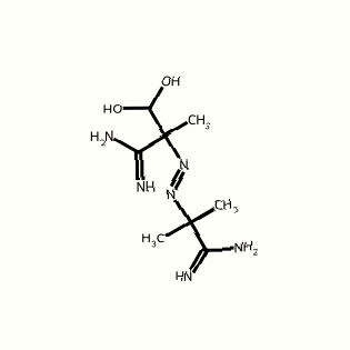 CC(C)(N=NC(C)(C(=N)N)C(O)O)C(=N)N